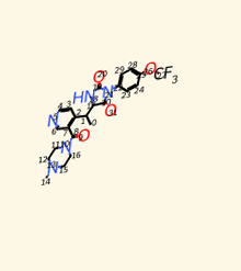 CC(c1ccncc1C(=O)N1CCN(C)CC1)C1NC(=O)N(c2ccc(OC(F)(F)F)cc2)C1=O